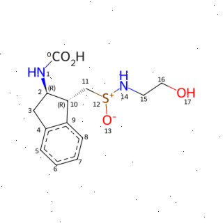 O=C(O)N[C@@H]1Cc2ccccc2[C@H]1C[S+]([O-])NCCO